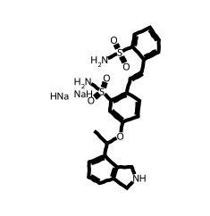 CC(Oc1ccc(C=Cc2ccccc2S(N)(=O)=O)c(S(N)(=O)=O)c1)c1cccc2c1CNC2.[NaH].[NaH]